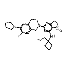 [O-][S@+]1CCc2nc(N3CCc4cc(N5CCCC5)c(F)cc4C3)nc(NC3(CO)CCC3)c21